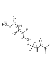 C=C(C)C(=O)NC(C)(C)CO/C=C(\C)C(=O)NC(CC)CO